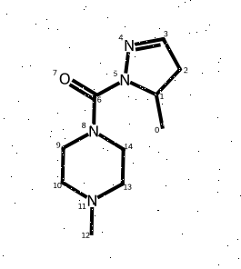 CC1CC=NN1C(=O)N1CCN(C)CC1